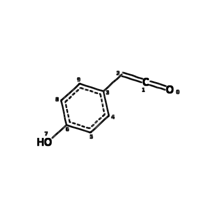 O=C=Cc1ccc(O)cc1